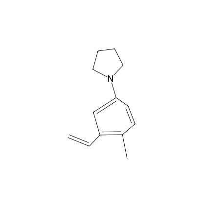 C=Cc1cc(N2CCCC2)ccc1C